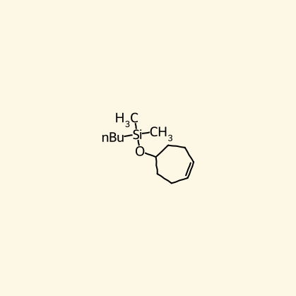 CCCC[Si](C)(C)OC1CCC=CCC1